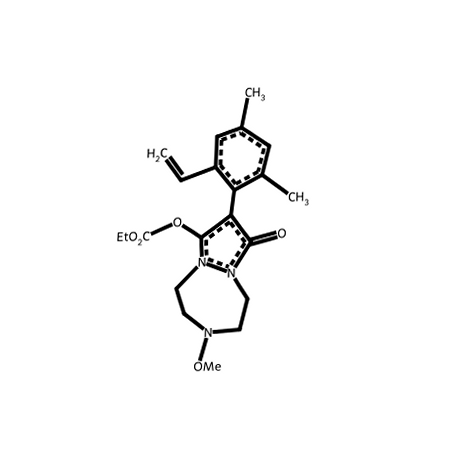 C=Cc1cc(C)cc(C)c1-c1c(OC(=O)OCC)n2n(c1=O)CCN(OC)CC2